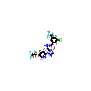 C[C@H](NC(=O)c1cc(Cl)cc(C(F)(F)F)c1)c1ncnn1-c1ccc(OC(F)C(F)F)cn1